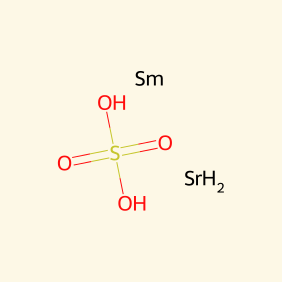 O=S(=O)(O)O.[Sm].[SrH2]